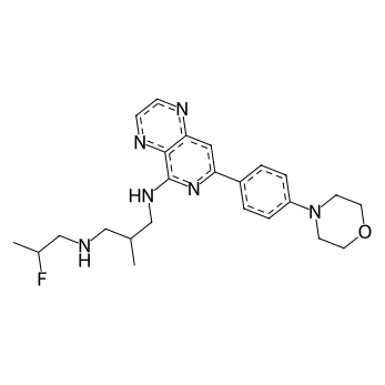 CC(F)CNCC(C)CNc1nc(-c2ccc(N3CCOCC3)cc2)cc2nccnc12